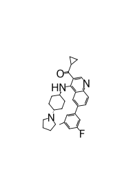 Cc1cc(F)cc(-c2ccc3ncc(C(=O)C4CC4)c(N[C@H]4CC[C@H](N5CCCC5)CC4)c3c2)c1